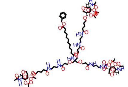 CC(=O)N[C@H]1[C@@H]2OC[C@](COCCCCC(=O)NCCCNC(=O)CCOCC(COCCC(=O)NCCCNOC[C@@]34CO[C@@H](O3)[C@H](NC(C)=O)[C@@H](OC(C)=O)[C@H]4OC(C)=O)(COCCC(=O)NCCCNC(=O)CCCCOC[C@@]34CO[C@@H](O3)[C@H](NC(C)=O)[C@@H](OC(C)=O)[C@H]4OC(C)=O)NC(=O)CCCCCCCCCCC(=O)OCc3ccccc3)(O2)[C@H](OC(C)=O)[C@@H]1OC(C)=O